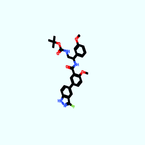 COc1cccc(C(CNC(=O)OC(C)(C)C)NC(=O)c2cc(-c3ccc4[nH]nc(F)c4c3)ccc2OC)c1